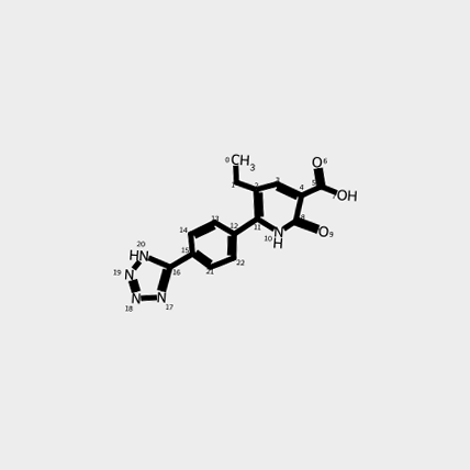 CCc1cc(C(=O)O)c(=O)[nH]c1-c1ccc(-c2nnn[nH]2)cc1